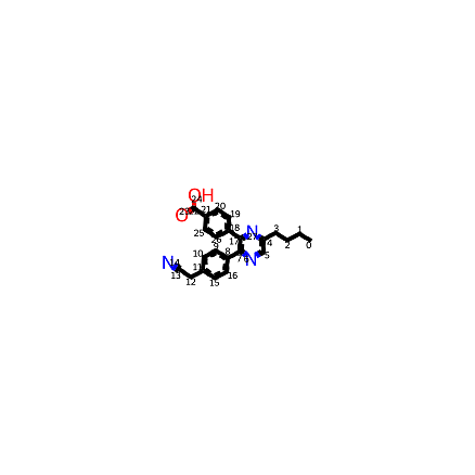 CCCCc1cnc(-c2ccc(CC#N)cc2)c(-c2ccc(C(=O)O)cc2)n1